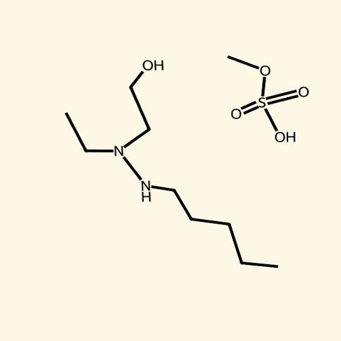 CCCCCNN(CC)CCO.COS(=O)(=O)O